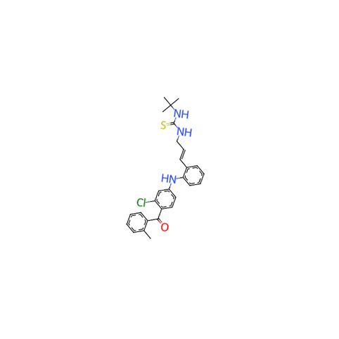 Cc1ccccc1C(=O)c1ccc(Nc2ccccc2C=CCNC(=S)NC(C)(C)C)cc1Cl